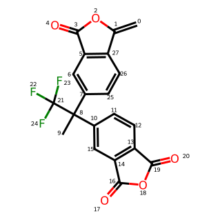 C=C1OC(=O)c2cc(C(C)(c3ccc4c(c3)C(=O)OC4=O)C(F)(F)F)ccc21